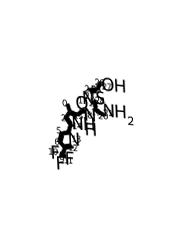 Cc1cc(-c2ccc(C(F)(F)F)cn2)[nH]c1C(=O)NC(CN)c1ncc(CO)s1